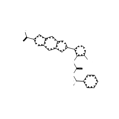 Cc1nsc(-c2cc3cc4sc(C(=O)O)cc4cc3s2)c1NC(=O)O[C@H](C)c1ccccc1